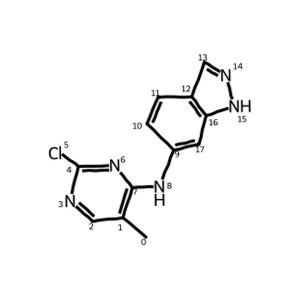 Cc1cnc(Cl)nc1Nc1ccc2cn[nH]c2c1